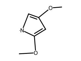 COC1=C[N]C(OC)=C1